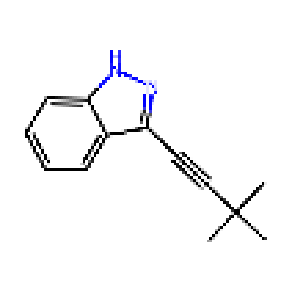 CC(C)(C)C#Cc1n[nH]c2ccccc12